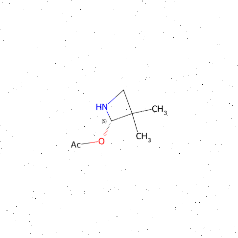 CC(=O)O[C@@H]1NCC1(C)C